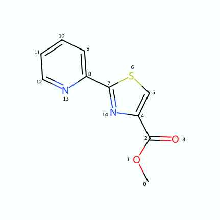 COC(=O)c1csc(-c2ccccn2)n1